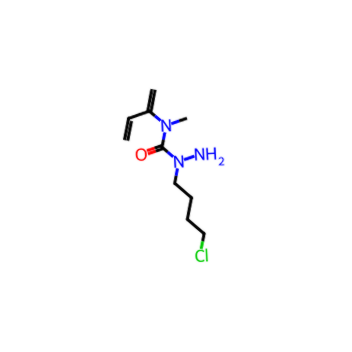 C=CC(=C)N(C)C(=O)N(N)CCCCCl